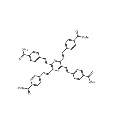 COC(=O)c1ccc(C=Cc2nc(C=Cc3ccc(C(=O)OC)cc3)c(C=Cc3ccc(C(=O)OC)cc3)nc2C=Cc2ccc(C(=O)OC)cc2)cc1